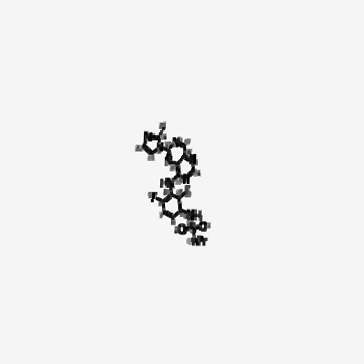 CCCS(=O)(=O)Nc1ccc(F)c(Nc2ncnc3cnc(-n4ccnc4C)nc23)c1F